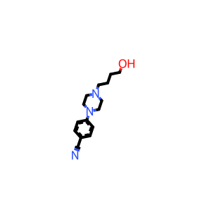 N#Cc1ccc(N2CCN(CCCCO)CC2)cc1